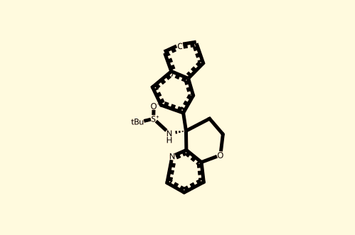 CC(C)(C)[S+]([O-])N[C@]1(c2ccc3ccccc3c2)CCOc2cccnc21